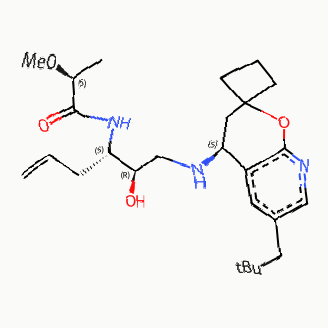 C=CC[C@H](NC(=O)[C@H](C)OC)[C@H](O)CN[C@H]1CC2(CCC2)Oc2ncc(CC(C)(C)C)cc21